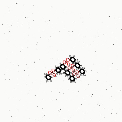 O=C(Oc1ccccc1)Oc1ccccc1.O=C(Oc1ccccc1)Oc1ccccc1.O=C(Oc1ccccc1)Oc1ccccc1.O=C(Oc1ccccc1)Oc1ccccc1